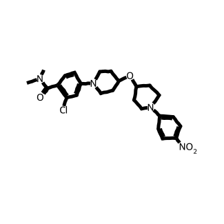 CN(C)C(=O)c1ccc(N2CCC(OC3CCN(c4ccc([N+](=O)[O-])cc4)CC3)CC2)cc1Cl